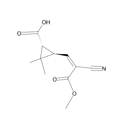 COC(=O)C(C#N)=C[C@@H]1[C@@H](C(=O)O)C1(C)C